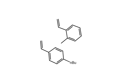 C=Cc1ccc(CCCC)cc1.C=Cc1ccccc1C